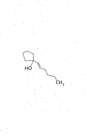 CCCC/C=C/C1(O)CCCC1